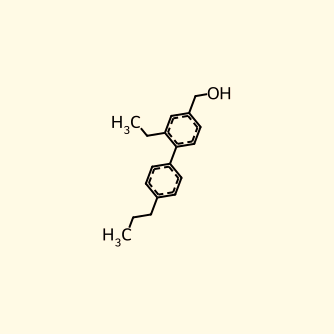 CCCc1ccc(-c2ccc(CO)cc2CC)cc1